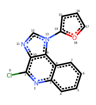 Clc1nc2ccccc2c2c1ncn2-c1ccco1